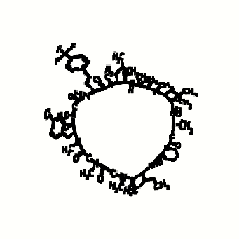 CCC(C)[C@@H]1NC(=O)[C@@H]2CCCCN2C(=O)C[C@@H](C)NC(=O)[C@H](CC(C)C)N(C)C(=O)C(C)(C)NC(=O)[C@H](CC(C)C)N(C)C(=O)[C@H](CCc2ccc(C(F)(F)F)cc2)NC(=O)CN(C)C(=O)[C@H](Cc2ccc(Cl)cc2)N(C)C(=O)CN(C)C(=O)CN(C)C1=O